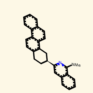 CNc1nc([C@H]2CCc3ccc4c(ccc5ccccc54)c3C2)cc2ccccc12